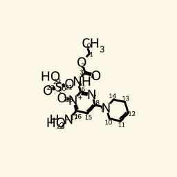 CCOC(=O)Nc1nc(N2CC=CCC2)cc(N)[n+]1OS(=O)(=O)O.[OH-]